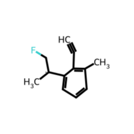 C#Cc1c(C)cccc1[C](C)CF